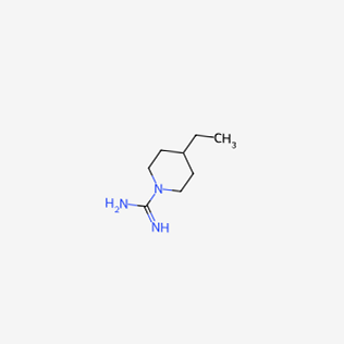 CCC1CCN(C(=N)N)CC1